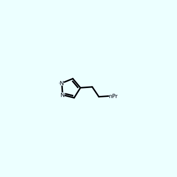 CCCCCC1=C[N]N=C1